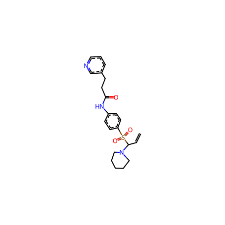 C=CC(N1CCCCC1)S(=O)(=O)c1ccc(NC(=O)CCc2cccnc2)cc1